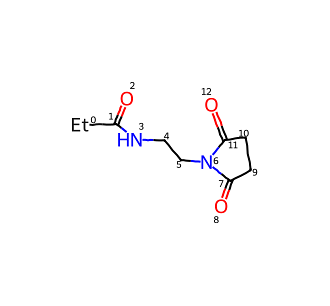 CCC(=O)NCCN1C(=O)CCC1=O